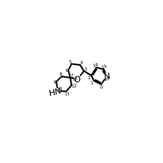 c1cc(C2CCCC3(CCNCC3)O2)ccn1